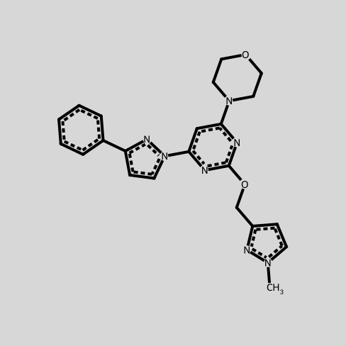 Cn1ccc(COc2nc(N3CCOCC3)cc(-n3ccc(-c4ccccc4)n3)n2)n1